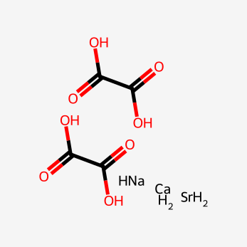 O=C(O)C(=O)O.O=C(O)C(=O)O.[CaH2].[NaH].[SrH2]